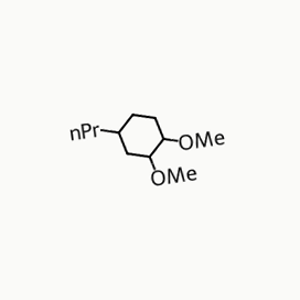 CCCC1CCC(OC)C(OC)C1